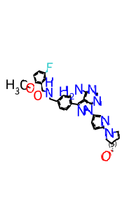 COc1ccc(F)cc1C(=O)NCc1ccc(-c2nn(-c3ccc(N4CC[C@H](C=O)C4)nc3)c3ncnc(N)c23)cc1